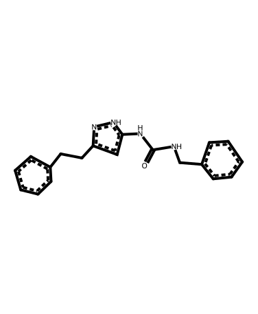 O=C(NCc1ccccc1)Nc1cc(CCc2ccccc2)n[nH]1